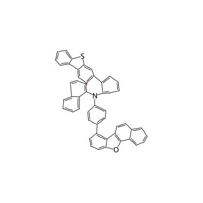 c1ccc(N(c2ccc(-c3cccc4oc5c6ccccc6ccc5c34)cc2)c2cccc3ccccc23)c(-c2ccc3c(c2)sc2ccccc23)c1